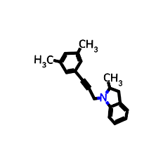 Cc1cc(C)cc(C#CCN2c3ccccc3CC2C)c1